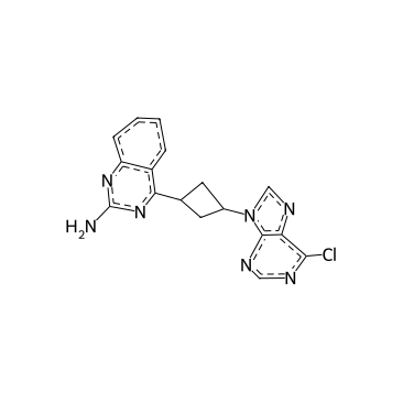 Nc1nc(C2CC(n3cnc4c(Cl)ncnc43)C2)c2ccccc2n1